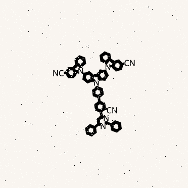 N#Cc1ccc2c(c1)c1ccccc1n2-c1ccc2c(c1)c1cc(-n3c4ccccc4c4cc(C#N)ccc43)ccc1n2-c1ccc(-c2ccc(-c3cc(-c4ccccc4)nc(-c4ccccc4)n3)c(C#N)c2)cc1